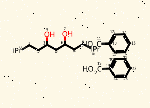 CC(C)CCC(O)CC(O)CCC(C)C.O=C(O)c1ccccc1.O=C(O)c1ccccc1